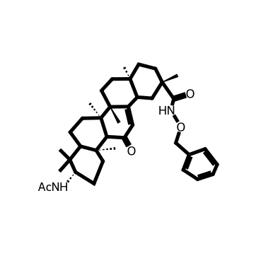 CC(=O)N[C@H]1CC[C@@]2(C)C(CC[C@]3(C)C2C(=O)C=C2C4C[C@@](C)(C(=O)NOCc5ccccc5)CC[C@]4(C)CC[C@]23C)C1(C)C